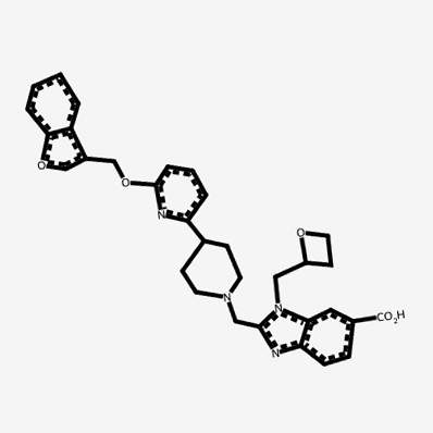 O=C(O)c1ccc2nc(CN3CCC(c4cccc(OCc5coc6ccccc56)n4)CC3)n(CC3CCO3)c2c1